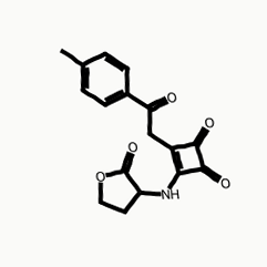 Cc1ccc(C(=O)Cc2c(NC3CCOC3=O)c(=O)c2=O)cc1